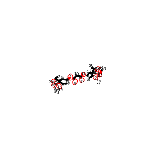 CCC(CC)(CCOC(=O)CC(=O)OCCC(CC)(CC)[Si](OC)(OC)OC)[Si](OC)(OC)OC